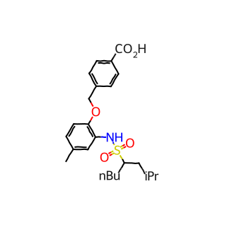 CCCCC(CC(C)C)S(=O)(=O)Nc1cc(C)ccc1OCc1ccc(C(=O)O)cc1